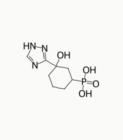 O=P(O)(O)C1CCCC(O)(c2nc[nH]n2)C1